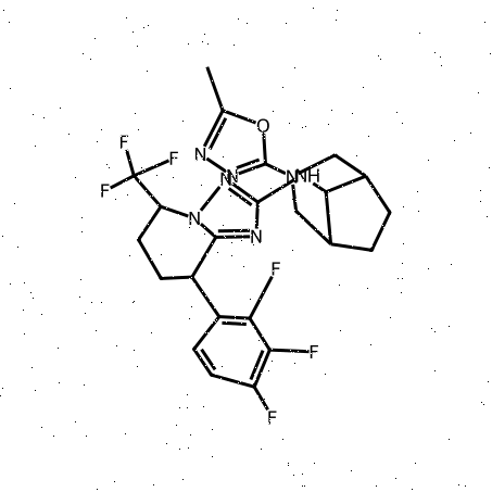 Cc1nnc(N2CC3CCC(C2)C3Nc2nc3n(n2)C(C(F)(F)F)CCC3c2ccc(F)c(F)c2F)o1